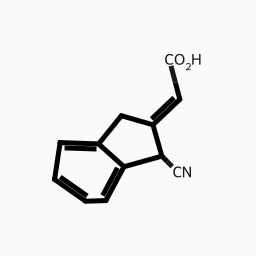 N#CC1C(=CC(=O)O)Cc2ccccc21